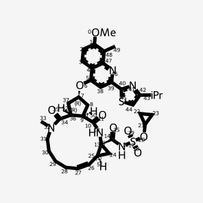 COc1ccc2c(O[C@@H]3C[C@H]4C(=O)N[C@]5(C(=O)NS(=O)(=O)OC6CC6)C[C@H]5C=CCCCCN(C)C(=O)[C@@H]4C3)cc(-c3nc(C(C)C)cs3)nc2c1C